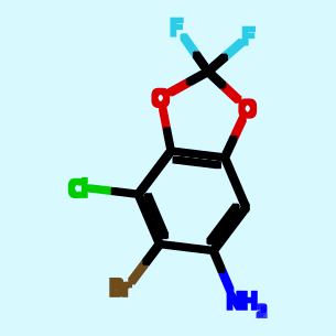 Nc1cc2c(c(Cl)c1Br)OC(F)(F)O2